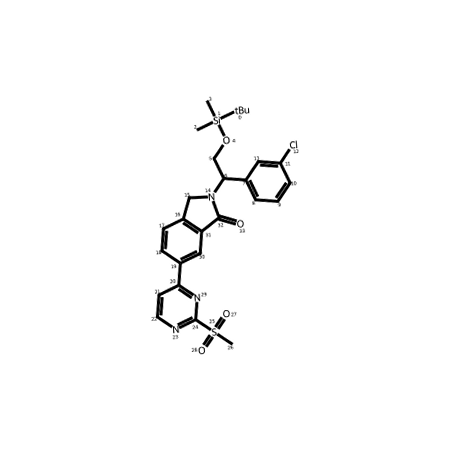 CC(C)(C)[Si](C)(C)OCC(c1cccc(Cl)c1)N1Cc2ccc(-c3ccnc(S(C)(=O)=O)n3)cc2C1=O